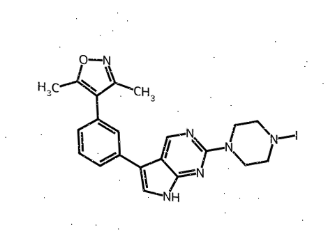 Cc1noc(C)c1-c1cccc(-c2c[nH]c3nc(N4CCN(I)CC4)ncc23)c1